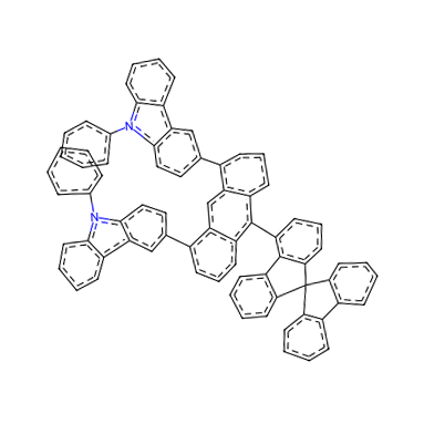 c1ccc(-n2c3ccccc3c3cc(-c4cccc5c(-c6cccc7c6-c6ccccc6C76c7ccccc7-c7ccccc76)c6cccc(-c7ccc8c(c7)c7ccccc7n8-c7ccccc7)c6cc45)ccc32)cc1